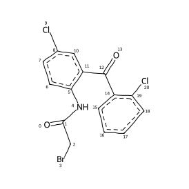 O=C(CBr)Nc1ccc(Cl)cc1C(=O)c1ccccc1Cl